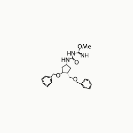 COC(=N)NC(=O)N[C@H]1CC(OCc2ccccc2)[C@@H](COCc2ccccc2)C1